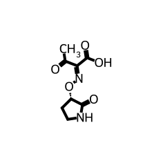 CC(=O)/C(=N\O[C@H]1CCNC1=O)C(=O)O